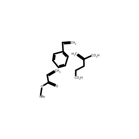 C=C(CCC(=O)O)C(=O)O.C=CC(=O)OCCCC.C=Cc1ccccc1